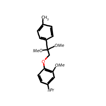 CCCc1ccc(OCC(OC)(OC)c2ccc(C)cc2)c(OC)c1